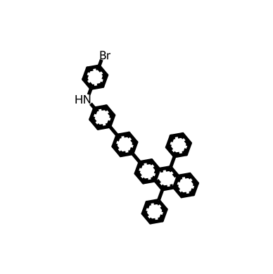 Brc1ccc(Nc2ccc(-c3ccc(-c4ccc5c(-c6ccccc6)c6ccccc6c(-c6ccccc6)c5c4)cc3)cc2)cc1